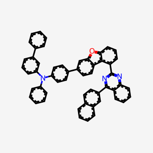 c1ccc(-c2cccc(N(c3ccccc3)c3ccc(-c4ccc5c(c4)oc4cccc(-c6nc(-c7ccc8ccccc8c7)c7ccccc7n6)c45)cc3)c2)cc1